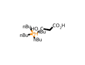 CCCC[PH](CCCC)(CCCC)CCCC.O=C(O)CC(=O)O